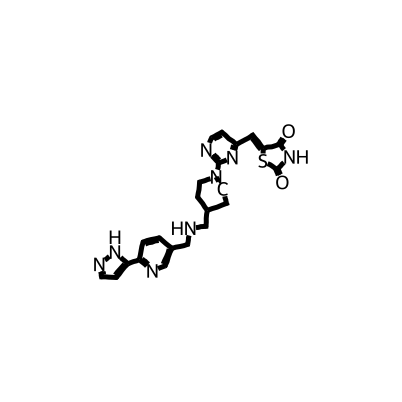 O=C1NC(=O)C(=Cc2ccnc(N3CCC(CNCc4ccc(-c5ccn[nH]5)nc4)CC3)n2)S1